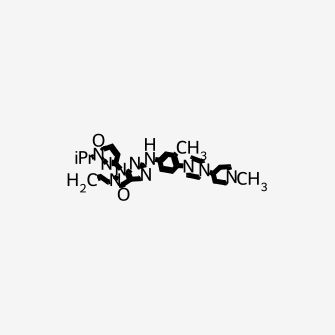 C=CCn1c(=O)c2cnc(Nc3ccc(N4CCN(C5CCN(C)CC5)CC4)c(C)c3)nc2n1-c1ccc(=O)n(C(C)C)n1